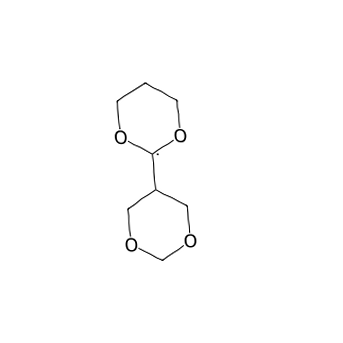 C1CO[C](C2COCOC2)OC1